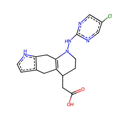 O=C(O)CC1CCN(Nc2ncc(Cl)cn2)C2=C1Cc1cc[nH]c1C2